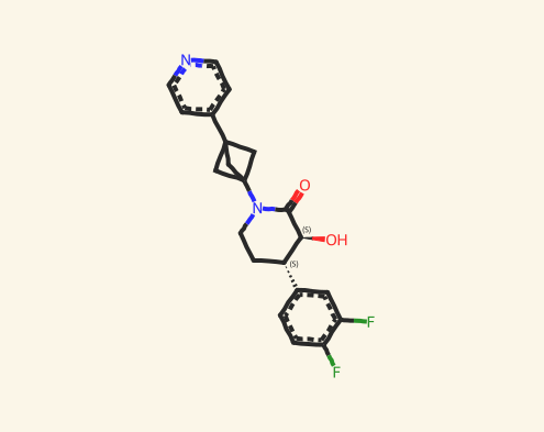 O=C1[C@@H](O)[C@H](c2ccc(F)c(F)c2)CCN1C12CC(c3ccncc3)(C1)C2